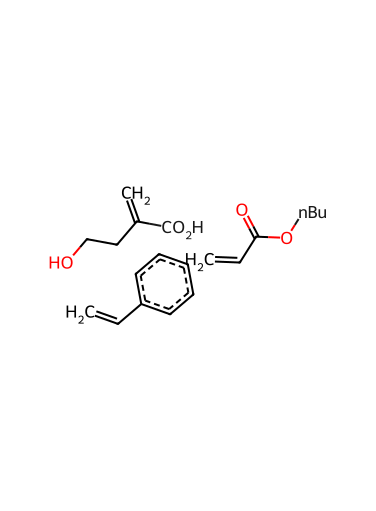 C=C(CCO)C(=O)O.C=CC(=O)OCCCC.C=Cc1ccccc1